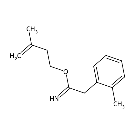 C=C(C)CCOC(=N)Cc1ccccc1C